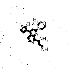 C[C@@H]1COCCN1c1cc(-c2ccsc2Cl)c2ccnc(/C(N)=C/C=N)c2n1